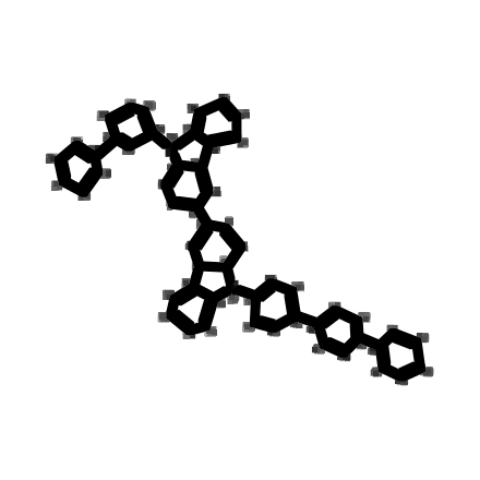 C1=CC2C(C=C1c1ccc3c(c1)c1ccccc1n3-c1cccc(-c3ccccc3)c1)c1ccccc1N2c1ccc(-c2ccc(-c3ccccc3)cc2)cc1